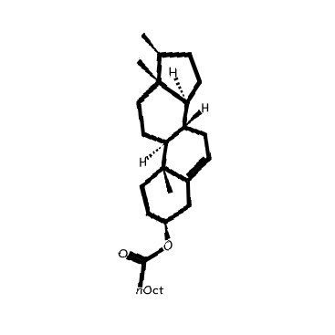 CCCCCCCCC(=O)O[C@H]1CC[C@@]2(C)C(=CC[C@H]3[C@@H]4CC[C@H](C)[C@@]4(C)CC[C@@H]32)C1